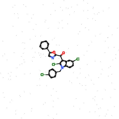 O=C(c1ncc(-c2ccccc2)o1)c1c(Cl)n(Cc2ccc(Cl)cc2)c2ccc(Cl)cc12